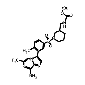 Cc1ccc(S(=O)(=O)N2CCCC(CNC(=O)OC(C)(C)C)C2)cc1-c1cnc2c(N)nc(C(F)(F)F)cn12